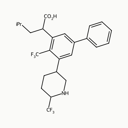 CC(C)CC(C(=O)O)c1cc(-c2ccccc2)cc(C2CCC(C(F)(F)F)NC2)c1C(F)(F)F